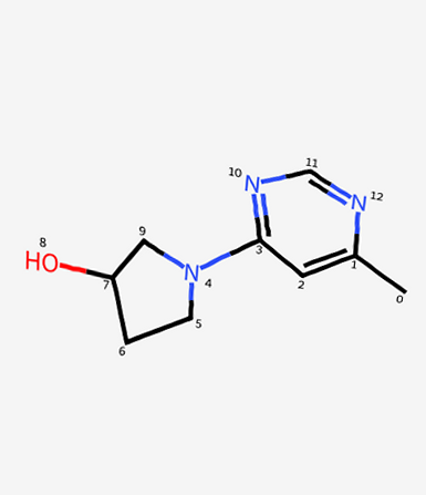 Cc1cc(N2CCC(O)C2)ncn1